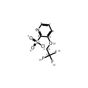 O=S(=O)(Cl)c1ncccc1OCC(F)(F)F